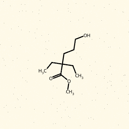 CCC(CC)(CCCO)C(=O)OC